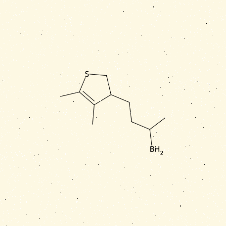 BC(C)CCC1CSC(C)=C1C